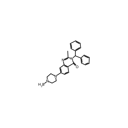 BN1CCN(c2ccc3c(=O)n(C(c4ccccc4)c4ccccc4)c(C)nc3c2)CC1